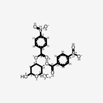 C[C@@H]1OC(O)C[C@H](OC(=O)c2ccc([N+](=O)[O-])cc2)[C@@H]1OC(=O)c1ccc([N+](=O)[O-])cc1